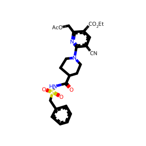 CCOC(=O)c1cc(C#N)c(N2CCC(C(=O)NS(=O)(=O)Cc3ccccc3)CC2)nc1COC(C)=O